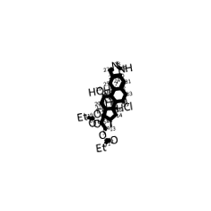 CCC(=O)OCC(=O)C1(OC(=O)CC)[C@H](C)C[C@H]2[C@H]3[C@H]([C@@H](O)C[C@@]21C)[C@@]1(C)Cc2cn[nH]c2C=C1C[C@H]3Cl